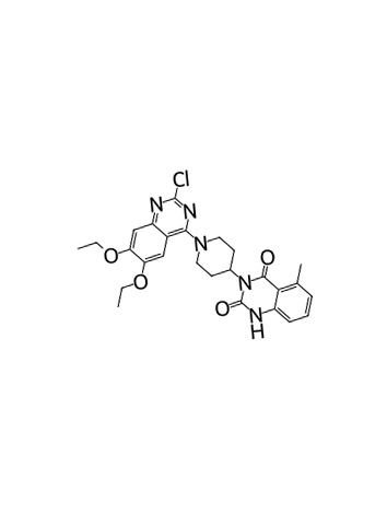 CCOc1cc2nc(Cl)nc(N3CCC(n4c(=O)[nH]c5cccc(C)c5c4=O)CC3)c2cc1OCC